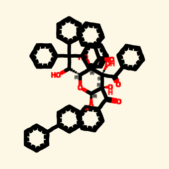 O=C(c1ccccc1)[C@@]1(O)[C@@](O)(C(=O)c2ccccc2)[C@@H](Oc2ccc(-c3ccccc3)cc2)O[C@H](C(O)C(c2ccccc2)(c2ccccc2)c2ccccc2)[C@]1(O)C(=O)c1ccccc1